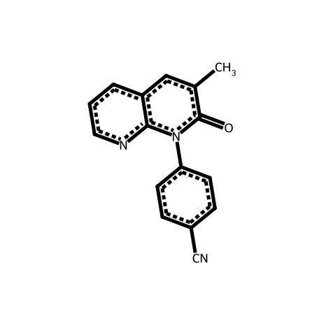 Cc1cc2cccnc2n(-c2ccc(C#N)cc2)c1=O